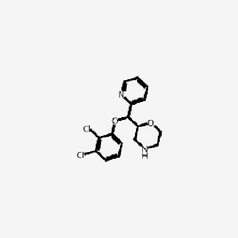 Clc1cccc(OC(c2ccccn2)C2CNCCO2)c1Cl